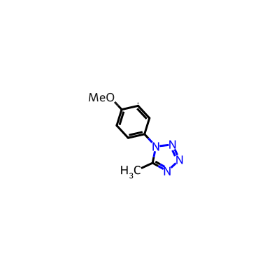 COc1[c]cc(-n2nnnc2C)cc1